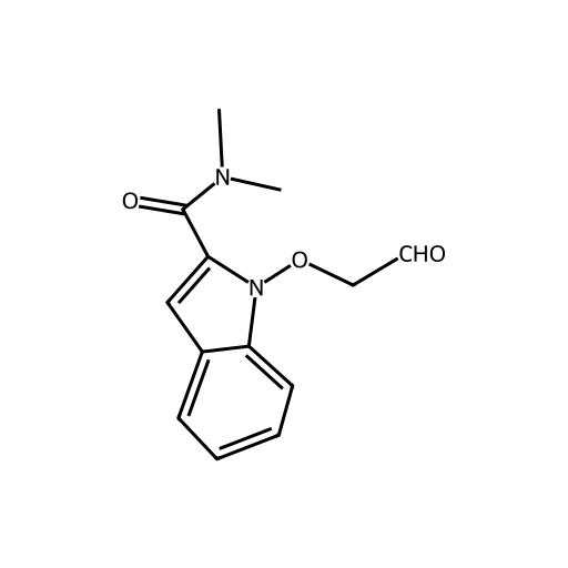 CN(C)C(=O)c1cc2ccccc2n1OCC=O